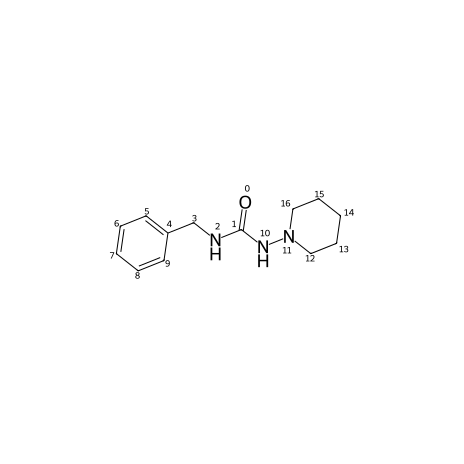 O=C(NCc1ccccc1)NN1CCCCC1